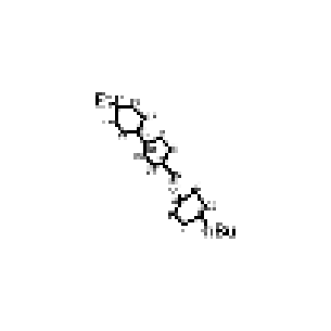 CCCCC1CCC(OCC2CCC(C3CCC(CC)CC3)CC2)CC1